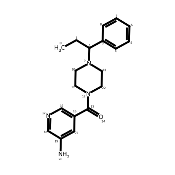 CCC(c1ccccc1)N1CCN(C(=O)c2cncc(N)c2)CC1